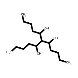 CCCCC(O)C(C(O)CCCC)C(O)CCCC